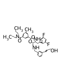 CCCN(CCC)C(=O)c1cc(C)cc(C(=O)O[C@H](CNCc2cccc(C#CCO)c2)[C@@H](N)Cc2cc(F)cc(F)c2)c1